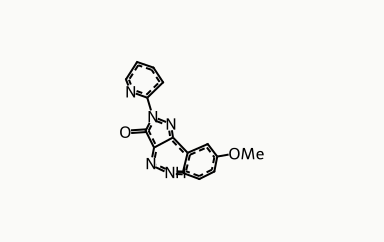 COc1ccc2[nH]nc3c(=O)n(-c4ccccn4)nc-3c2c1